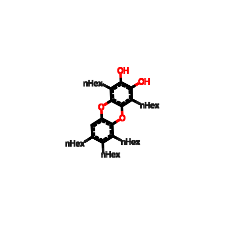 CCCCCCc1cc2c(c(CCCCCC)c1CCCCCC)Oc1c(CCCCCC)c(O)c(O)c(CCCCCC)c1O2